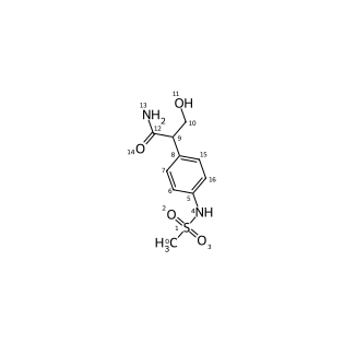 CS(=O)(=O)Nc1ccc(C(CO)C(N)=O)cc1